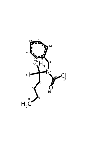 CCCCC(C)(I)N(Cc1ccccc1)C(=O)Cl